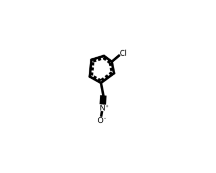 [O-][N+]#Cc1cccc(Cl)c1